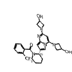 O=C(c1ccccc1C(F)(F)F)N1CCCC[C@H]1c1cc2nc(N3CC(O)C3)cc(N3CC(O)C3)n2c1